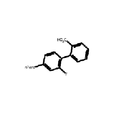 CCCCCc1ccc(-c2ccccc2C(=O)O)c(F)c1